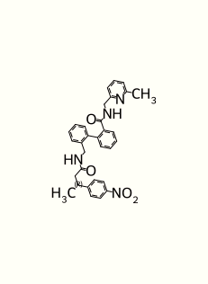 Cc1cccc(CNC(=O)c2ccccc2-c2ccccc2CNC(=O)C[C@@H](C)c2ccc([N+](=O)[O-])cc2)n1